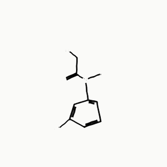 CCCCN(C(=O)CC(C)(C)C)c1cccc(Cl)c1